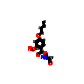 CCCCOc1ccc(C(=O)ONC=O)c(O)c1